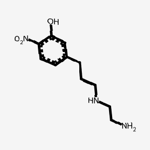 NCCNCCCc1ccc([N+](=O)[O-])c(O)c1